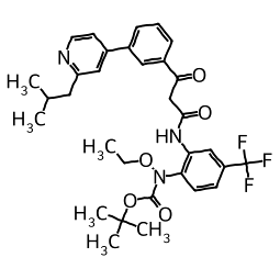 CCON(C(=O)OC(C)(C)C)c1ccc(C(F)(F)F)cc1NC(=O)CC(=O)c1cccc(-c2ccnc(CC(C)C)c2)c1